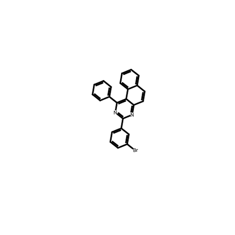 Brc1cccc(-c2nc(-c3ccccc3)c3c(ccc4ccccc43)n2)c1